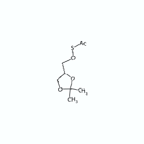 CC(=O)SOCC1COC(C)(C)O1